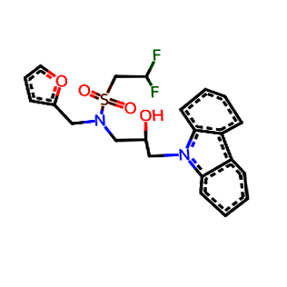 O=S(=O)(CC(F)F)N(Cc1ccco1)CC(O)Cn1c2ccccc2c2ccccc21